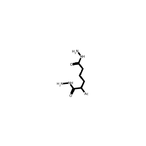 CC(=O)C(CCCC(=O)NN)C(=O)NN